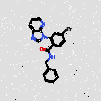 CC(C)c1ccc(C(=O)NCc2ccccc2)c(-n2cnc3cccnc32)c1